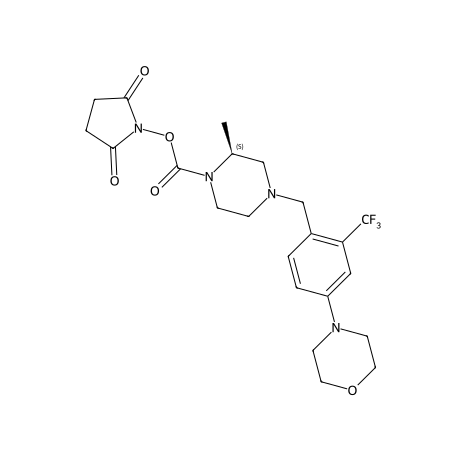 C[C@H]1CN(Cc2ccc(N3CCOCC3)cc2C(F)(F)F)CCN1C(=O)ON1C(=O)CCC1=O